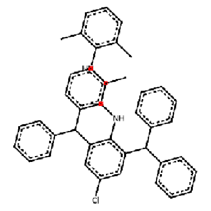 Cc1cccc(C)c1NC(C)C(C)Nc1c(C(c2ccccc2)c2ccccc2)cc(Cl)cc1C(c1ccccc1)c1ccccc1